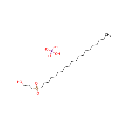 CCCCCCCCCCCCCCCCCCCCS(=O)(=O)CCCO.O=P(O)(O)O